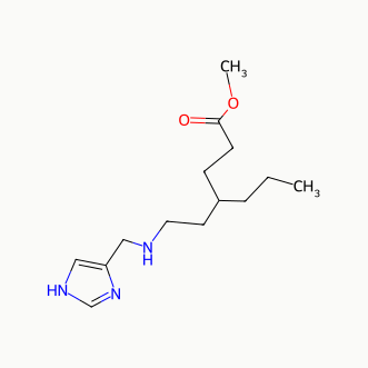 CCCC(CCNCc1c[nH]cn1)CCC(=O)OC